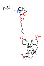 CCCCN(C)C(=O)COCCCCCCOc1ccc([C@H]2C[C@]3(C)[C@@H](O)CC[C@H]3[C@@H]3CCc4cc(O)ccc4[C@H]32)cc1